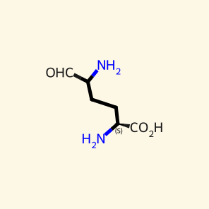 NC(C=O)CC[C@H](N)C(=O)O